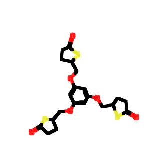 O=C1CCC(COc2cc(OCC3CCC(=O)S3)cc(OCC3CCC(=O)S3)c2)S1